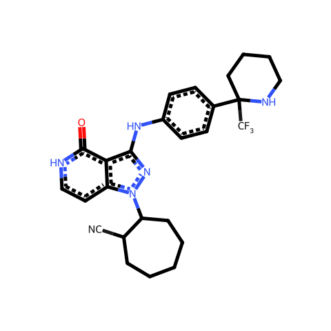 N#CC1CCCCCC1n1nc(Nc2ccc(C3(C(F)(F)F)CCCCN3)cc2)c2c(=O)[nH]ccc21